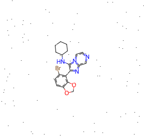 Brc1ccc2c(c1-c1nc3cnccn3c1NC1CCCCC1)OCO2